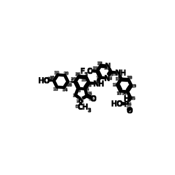 CN1Cc2c(c(Nc3nc(Nc4ccc(C[PH](=O)O)cc4)ncc3C(F)(F)F)ccc2[C@H]2CC[C@H](O)CC2)C1=O